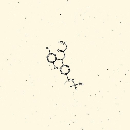 C[C@@H](O[Si](C)(C)C(C)(C)C)c1ccc(N(CC(=O)CC(=O)O)c2cc(Br)ccc2C#N)cc1